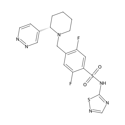 O=S(=O)(Nc1ncns1)c1cc(F)c(CN2CCCC[C@H]2c2ccnnc2)cc1F